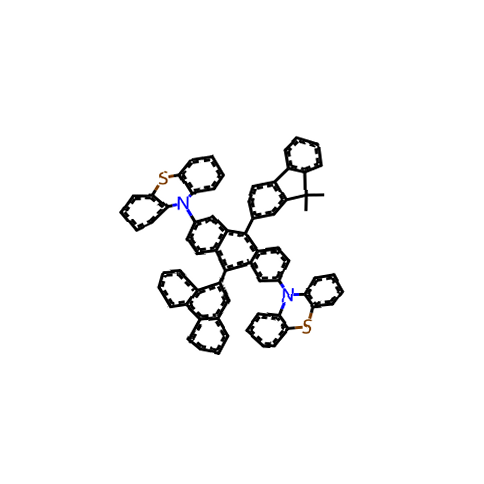 CC1(C)c2ccccc2-c2ccc(-c3c4cc(N5c6ccccc6Sc6ccccc65)ccc4c(-c4cc5ccccc5c5ccccc45)c4cc(N5c6ccccc6Sc6ccccc65)ccc34)cc21